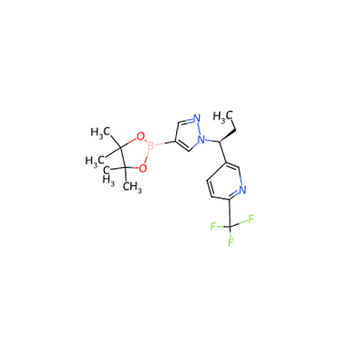 CC[C@@H](c1ccc(C(F)(F)F)nc1)n1cc(B2OC(C)(C)C(C)(C)O2)cn1